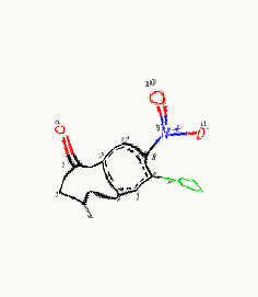 O=C1CCc2cc(Cl)c([N+](=O)[O-])cc21